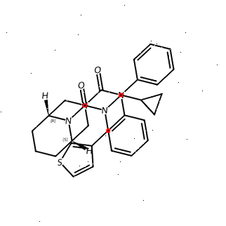 O=C(N1C[C@H]2CCC[C@@H](C1)N2C(=O)N(Cc1ccsc1)CC1CC1)N(c1ccccc1)c1ccccc1